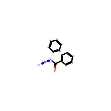 [N-]=[N+]=NC(=O)c1ccccc1.c1ccccc1